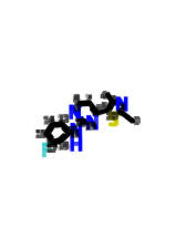 Cc1nc(C)c(-c2ccnc(Nc3cccc(F)c3)n2)s1